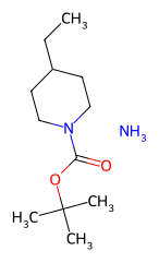 CCC1CCN(C(=O)OC(C)(C)C)CC1.N